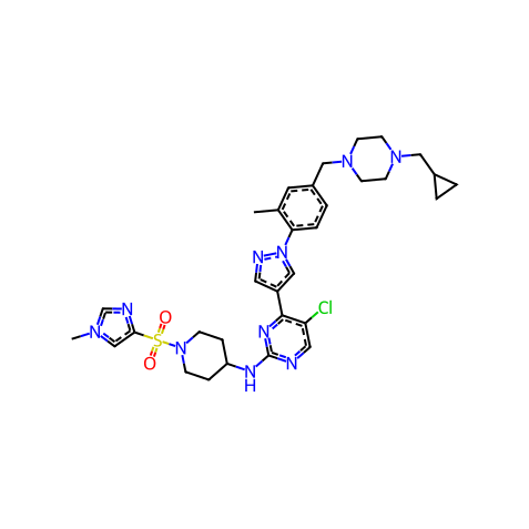 Cc1cc(CN2CCN(CC3CC3)CC2)ccc1-n1cc(-c2nc(NC3CCN(S(=O)(=O)c4cn(C)cn4)CC3)ncc2Cl)cn1